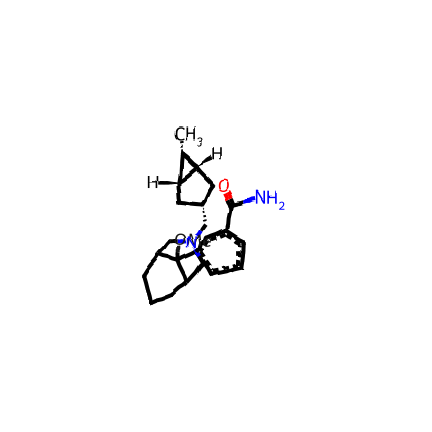 COC1(c2cccc(C(N)=O)c2)C2CCCC1CN(C[C@@H]1C[C@@H]3[C@H](C)[C@@H]3C1)C2